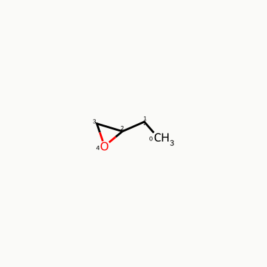 C[CH]C1CO1